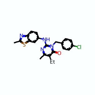 CCc1c(C)nc(Nc2ccc3nc(C)sc3c2)n(Cc2ccc(Cl)cc2)c1=O